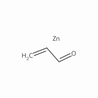 C=CC=O.[Zn]